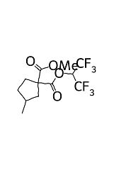 COC(=O)C1(C(=O)OC(C(F)(F)F)C(F)(F)F)CCC(C)C1